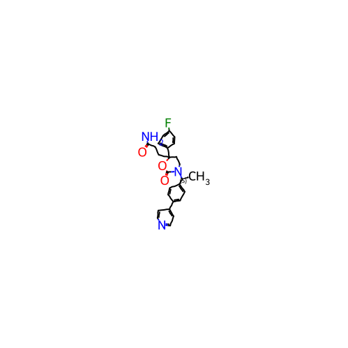 C[C@@H](c1ccc(-c2ccncc2)cc1)N1CCC(CCC(N)=O)(c2ccc(F)cc2)OC1=O